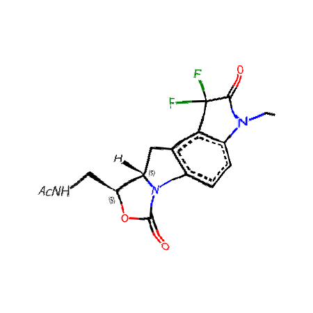 CC(=O)NC[C@@H]1OC(=O)N2c3ccc4c(c3C[C@@H]12)C(F)(F)C(=O)N4C